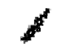 [N-]=[N+]=NCc1ccc(C(=O)Nc2ccc(OC(F)(F)F)cc2)nc1